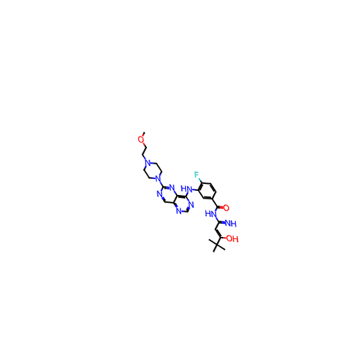 COCCN1CCN(c2ncc3ncnc(Nc4cc(C(=O)NC(=N)/C=C(\O)C(C)(C)C)ccc4F)c3n2)CC1